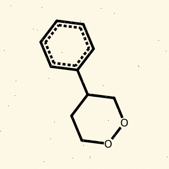 c1ccc(C2CCOOC2)cc1